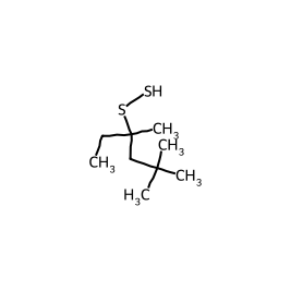 CCC(C)(CC(C)(C)C)SS